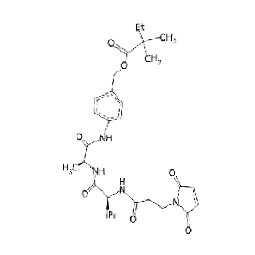 CCC(C)(C)C(=O)OCc1ccc(NC(=O)[C@H](C)NC(=O)[C@@H](NC(=O)CCN2C(=O)C=CC2=O)C(C)C)cc1